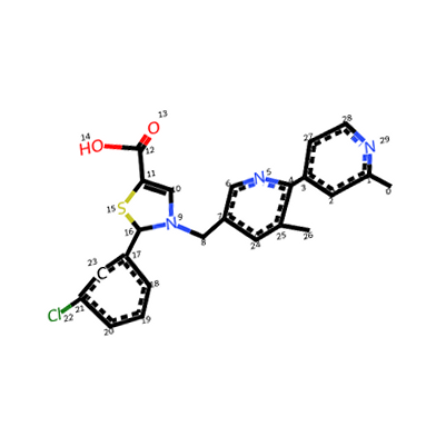 Cc1cc(-c2ncc(CN3C=C(C(=O)O)SC3c3cccc(Cl)c3)cc2C)ccn1